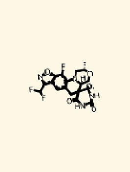 C[C@H]1CN2c3c(cc4c(C(F)F)noc4c3F)CC3(C(=O)NC(=O)NC3=O)[C@@H]2[C@@H](C)O1